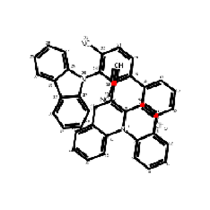 C#CC1=C(/C=C\C)N(c2ccccc2-c2cccc(-c3ccc(C#N)c(-n4c5ccccc5c5ccccc54)c3C#N)c2)c2ccccc2C1